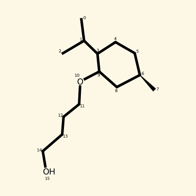 CC(C)C1CC[C@@H](C)CC1OCCCCO